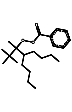 CCCCC(CCCC)C(C)(OOC(=O)c1ccccc1)C(C)(C)C